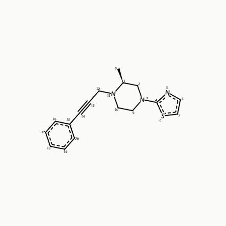 C[C@H]1CN(c2nccs2)CCN1CC#Cc1ccccc1